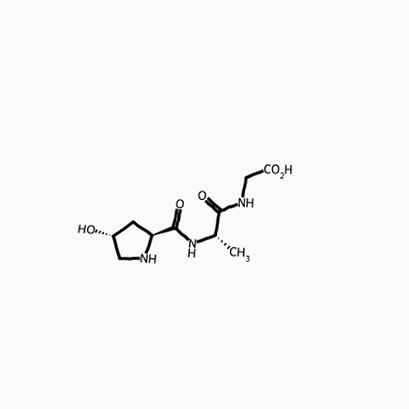 C[C@H](NC(=O)[C@@H]1C[C@@H](O)CN1)C(=O)NCC(=O)O